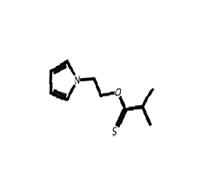 CC(C)C(=S)OCCn1cccc1